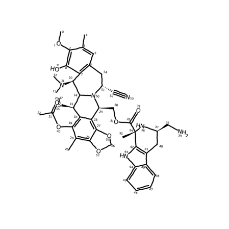 COc1c(C)cc2c(c1O)[C@H](N(C)C)C1[C@H](SC)c3c(OC(C)=O)c(C)c4c(c3[C@H](COC(=O)[C@]3(C)N[C@@H](CN)Cc5c3[nH]c3ccccc53)N1[C@@H](C#N)C2)OCO4